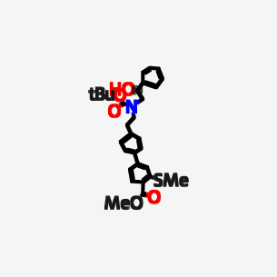 COC(=O)c1ccc(-c2ccc(CCN(C[C@@H](O)c3ccccc3)C(=O)OC(C)(C)C)cc2)cc1SC